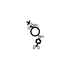 COC(=O)c1ccc(NC2CCCCCC(N)(C(=O)OC(C)(C)C)CCCC2)cc1